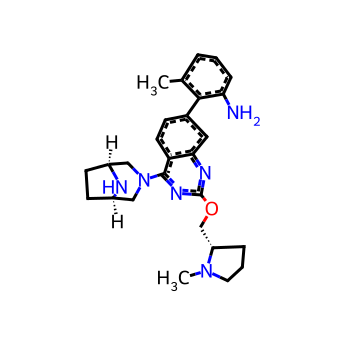 Cc1cccc(N)c1-c1ccc2c(N3C[C@H]4CC[C@@H](C3)N4)nc(OC[C@@H]3CCCN3C)nc2c1